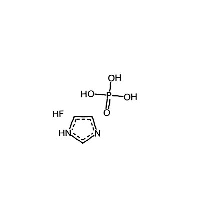 F.O=P(O)(O)O.c1c[nH]cn1